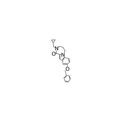 O=C1c2cc3cc(OCc4ccccc4)ccc3n2CCCN1CC1CC1